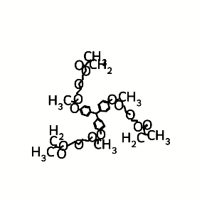 C=C(C)C(=O)OCCOCCOC(C)Oc1ccc(C(c2ccc(OC(C)OCCOCCOC(=O)C(=C)C)cc2)c2ccc(OC(C)OCCOCCOC(=O)C(=C)C)cc2)cc1